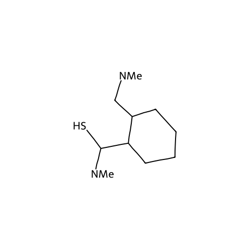 CNCC1CCCCC1C(S)NC